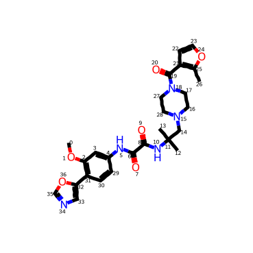 COc1cc(NC(=O)C(=O)NC(C)(C)CN2CCN(C(=O)c3ccoc3C)CC2)ccc1-c1cnco1